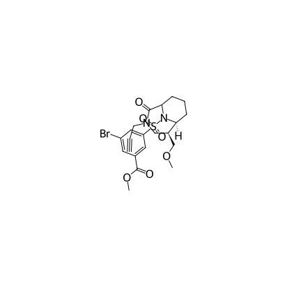 C#CCN1C[C@H](COC)[C@@H]2CCCC(C1=O)N2S(=O)(=O)c1cc(Br)cc(C(=O)OC)c1